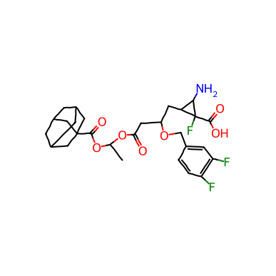 CC(OC(=O)CC(CC1C(N)C1(F)C(=O)O)OCc1ccc(F)c(F)c1)OC(=O)C12CC3CC(CC(C3)C1)C2